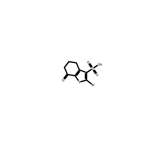 O=C1CCCc2c1sc(Br)c2S(=O)(=O)O